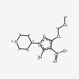 [2H]c1c([N+](=O)[O-])c(OCOC)nn1C1CCOCC1